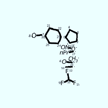 C1CCCC1.C[O].C[O].F[C](F)F.O=[NH+][O-].[CH2]C.[CH2]CCC.[CH3].[CH]1CCCCC1